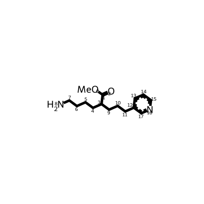 COC(=O)C(CCCCN)CCCc1cccnc1